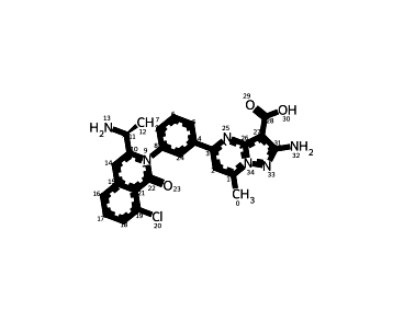 Cc1cc(-c2cccc(-n3c([C@H](C)N)cc4cccc(Cl)c4c3=O)c2)nc2c(C(=O)O)c(N)nn12